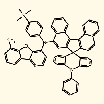 C[Si](C)(C)c1ccc(N(c2cc3c(c4ccccc24)-c2c(ccc4ccccc24)C32c3ccccc3N(c3ccccc3)c3ccccc32)c2cccc3c2oc2c(C(F)(F)F)cccc23)cc1